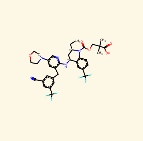 CC[C@@H]1C[C@H](Nc2ncc(N3CCOCC3)cc2Cc2cc(C#N)cc(C(F)(F)F)c2)c2cc(C(F)(F)F)ccc2N1C(=O)OCC(C)(C)C(=O)O